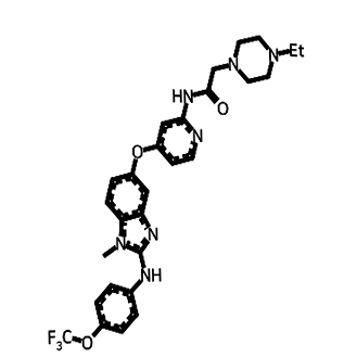 CCN1CCN(CC(=O)Nc2cc(Oc3ccc4c(c3)nc(Nc3ccc(OC(F)(F)F)cc3)n4C)ccn2)CC1